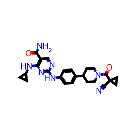 N#CC1(C(=O)N2CCC(c3ccc(Nc4ncc(C(N)=O)c(NC5CC5)n4)cc3)CC2)CC1